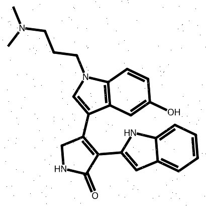 CN(C)CCCn1cc(C2=C(c3cc4ccccc4[nH]3)C(=O)NC2)c2cc(O)ccc21